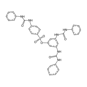 O=C(Nc1ccccc1)Nc1ccc(S(=O)(=O)Oc2cc(NC(=O)Nc3ccccc3)cc(NC(=O)Nc3ccccc3)c2)cc1